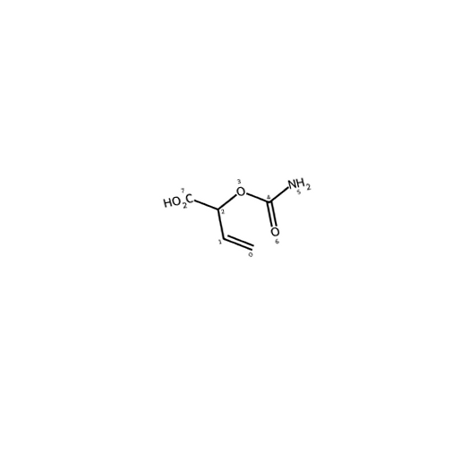 C=CC(OC(N)=O)C(=O)O